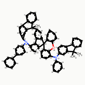 CC1(C)c2ccccc2-c2ccc(N(c3ccccc3)c3cccc4c3Oc3ccccc3C43c4ccc5cc4-c4c(cccc43)N(c3ccc(-c4ccccc4)cc3)c3ccc4c(c3)C5(C)c3ccccc3-4)cc21